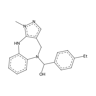 CCc1ccc(C(O)N2Cc3cnn(C)c3Nc3ccccc32)cc1